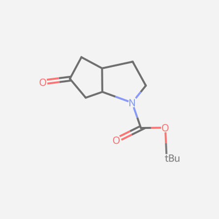 CC(C)(C)OC(=O)N1CCC2CC(=O)CC21